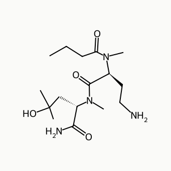 CCCC(=O)N(C)[C@@H](CCN)C(=O)N(C)[C@@H](CC(C)(C)O)C(N)=O